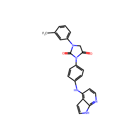 O=C1CN(c2cccc(C(F)(F)F)c2)C(=O)N1c1ccc(Nc2ccnc3[nH]ccc23)cc1